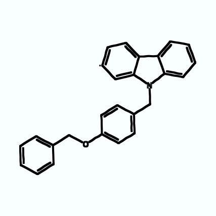 [c]1ccc2c3ccccc3n(Cc3ccc(OCc4ccccc4)cc3)c2c1